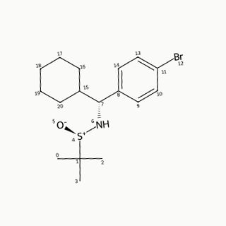 CC(C)(C)[S@@+]([O-])N[C@@H](c1ccc(Br)cc1)C1CCCCC1